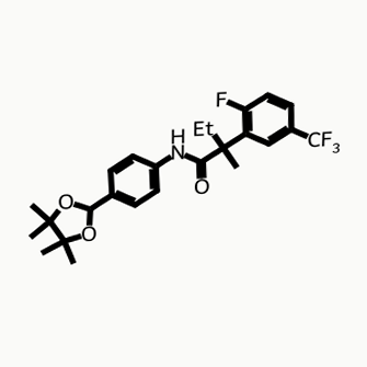 CCC(C)(C(=O)Nc1ccc(C2OC(C)(C)C(C)(C)O2)cc1)c1cc(C(F)(F)F)ccc1F